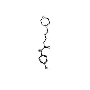 O=C(CCCCN1CCOCC1)Nc1ccc(Br)cc1